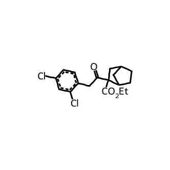 CCOC(=O)C1(C(=O)Cc2ccc(Cl)cc2Cl)CC2CCC1C2